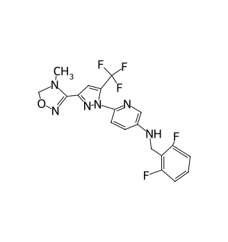 CN1CON=C1c1cc(C(F)(F)F)n(-c2ccc(NCc3c(F)cccc3F)cn2)n1